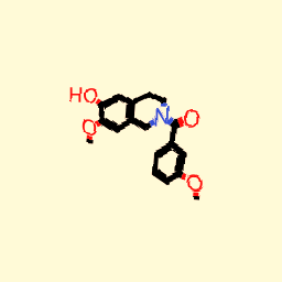 COc1cccc(C(=O)N2CCc3cc(O)c(OC)cc3C2)c1